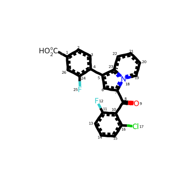 O=C(O)c1ccc(-c2cc(C(=O)c3c(F)cccc3Cl)n3ccccc23)c(F)c1